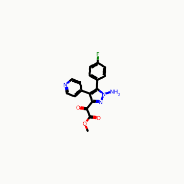 COC(=O)C(=O)c1nn(N)c(-c2ccc(F)cc2)c1-c1ccncc1